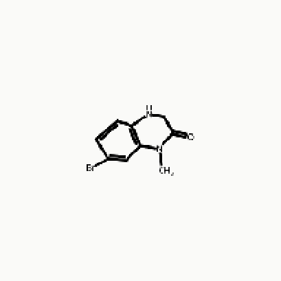 CN1C(=O)CNc2ccc(Br)cc21